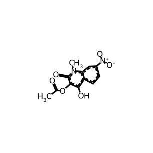 CC(=O)Oc1c(O)c2ccc([N+](=O)[O-])cc2n(C)c1=O